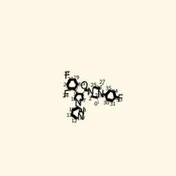 C[C@@H]1CN(C(=O)[C@@H]2CN(c3cccnn3)C[C@H]2c2ccc(F)cc2F)C[C@H](C)N1c1ccc(F)cc1